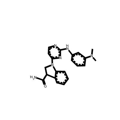 CN(C)c1cccc(Nc2nccc(N3CC(C(N)=O)c4ccccc43)n2)c1